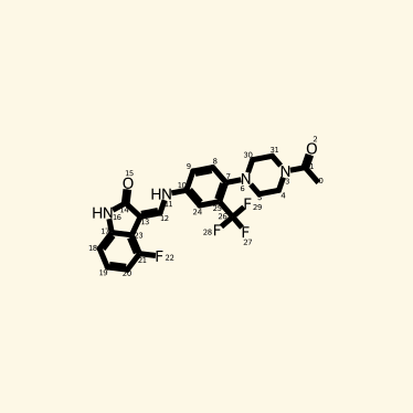 CC(=O)N1CCN(c2ccc(NC=C3C(=O)Nc4cccc(F)c43)cc2C(F)(F)F)CC1